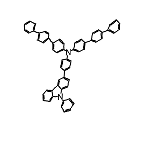 c1ccc(-c2ccc(-c3ccc(N(c4ccc(-c5ccc(-c6ccccc6)cc5)cc4)c4ccc(-c5ccc6c(c5)c5ccccc5n6-c5ccccc5)cc4)cc3)cc2)cc1